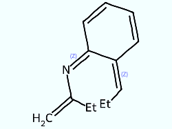 C=C(CC)/N=C1/C=CC=C/C1=C/CC